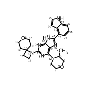 CC1COCCN1c1nc(N2CCC23CCOCC3)nc2[nH]c(-c3cccc4[nH]ccc34)nc12